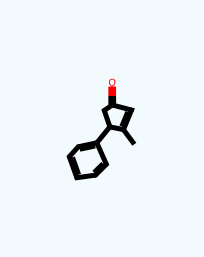 CC1=CC(=O)CC1c1ccccc1